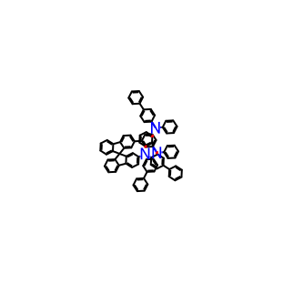 C1=CC(N(c2ccccc2)c2ccc3c(c2)C2(c4ccccc4-c4ccc(-c5cc(N(c6ccccc6)c6ccc(-c7ccccc7)cc6)cc(N(c6ccccc6)c6ccc(-c7ccccc7)cc6)c5)cc42)c2ccccc2-3)CC=C1c1ccccc1